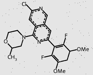 COC1=C(F)C(c2cc3cnc(Cl)cc3c(N3CCOC(C)C3)n2)=C(F)C(OC)C1